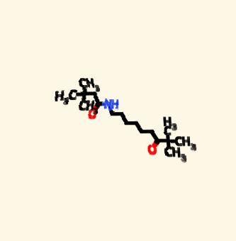 CC(C)(C)CC(=O)NCCCCCCC(=O)C(C)(C)C